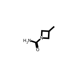 C[C]1CN(C(N)=O)C1